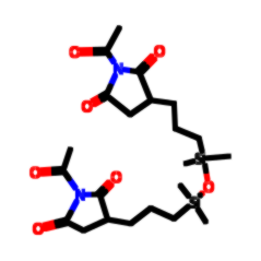 CC(=O)N1C(=O)CC(CCC[Si](C)(C)O[Si](C)(C)CCCC2CC(=O)N(C(C)=O)C2=O)C1=O